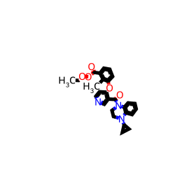 CCOOC(=O)c1cccc(Oc2ccncc2C(=O)N2CCN(C3CC3)c3ccccc32)c1C